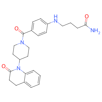 NC(=O)CCCNc1ccc(C(=O)N2CCC(N3C(=O)CCc4ccccc43)CC2)cc1